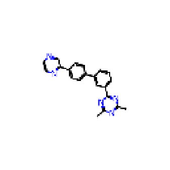 Cc1nc(C)nc(-c2cccc(-c3ccc(-c4cnccn4)cc3)c2)n1